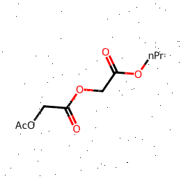 CC[C]OC(=O)COC(=O)COC(C)=O